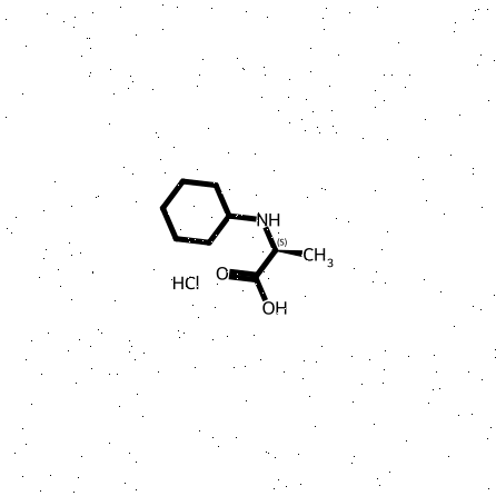 C[C@H](NC1CCCCC1)C(=O)O.Cl